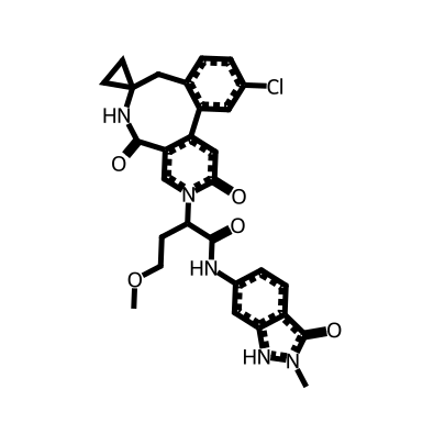 COCCC(C(=O)Nc1ccc2c(=O)n(C)[nH]c2c1)n1cc2c(cc1=O)-c1cc(Cl)ccc1CC1(CC1)NC2=O